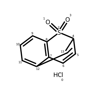 Cl.O=S1(=O)c2ccc3c1cccc3c2